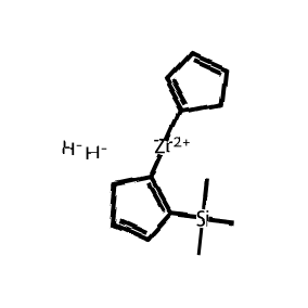 C[Si](C)(C)C1=[C]([Zr+2][C]2=CC=CC2)CC=C1.[H-].[H-]